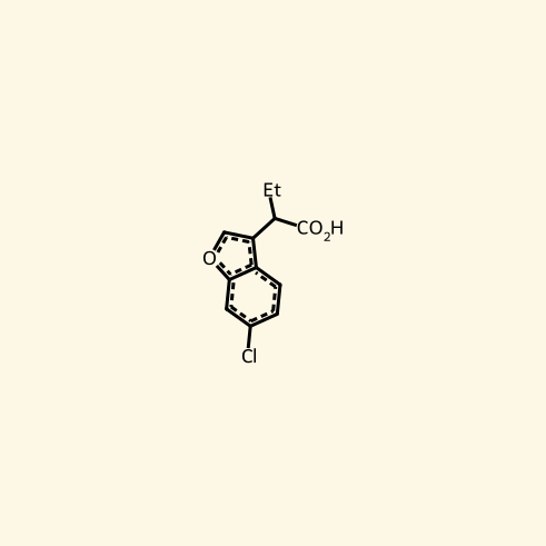 CCC(C(=O)O)c1coc2cc(Cl)ccc12